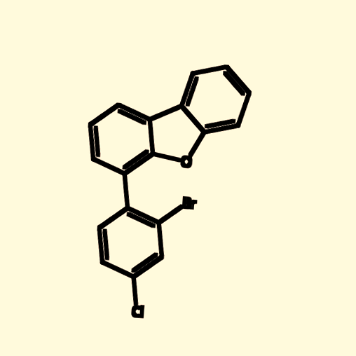 Clc1ccc(-c2cccc3c2oc2ccccc23)c(Br)c1